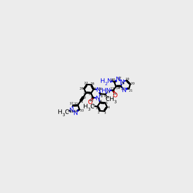 Cc1ccccc1-n1c([C@H](C)NC(=O)c2c(N)nn3cccnc23)nc2cccc(C#Cc3cnn(C)c3)c2c1=O